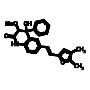 COC1C(=O)Nc2ccc(/C=C/c3cc(C)c(C)o3)cc2C1(O)c1ccccc1